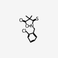 CC1(C)C(=O)ON(Cc2ccccc2Cl)C1=S